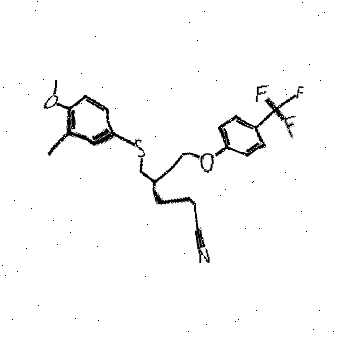 COc1ccc(SCC(CCC#N)COc2ccc(C(F)(F)F)cc2)cc1C